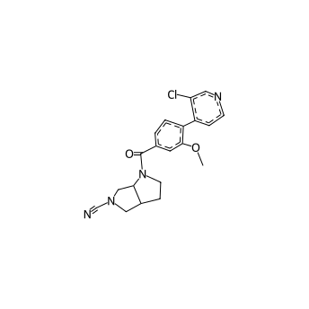 COc1cc(C(=O)N2CCC3CN(C#N)CC32)ccc1-c1ccncc1Cl